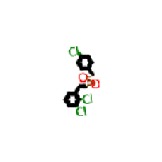 O=S(=O)(C=Cc1cccc(Cl)c1Cl)Cc1ccc(Cl)cc1